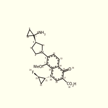 COc1c(N2CC[C@@H](C3(N)CC3)C2)ccc2c(=O)c(C(=O)O)cn([C@@H]3C[C@H]3F)c12